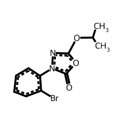 CC(C)Oc1nn(-c2ccccc2Br)c(=O)o1